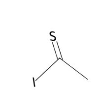 CC(=S)I